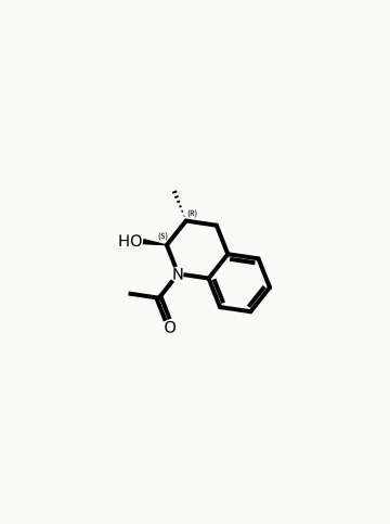 CC(=O)N1c2ccccc2C[C@@H](C)[C@@H]1O